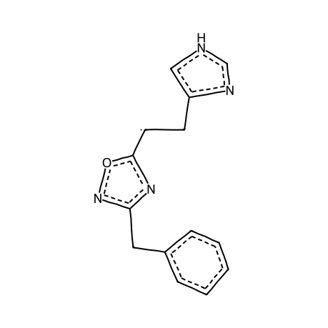 [CH](Cc1c[nH]cn1)c1nc(Cc2ccccc2)no1